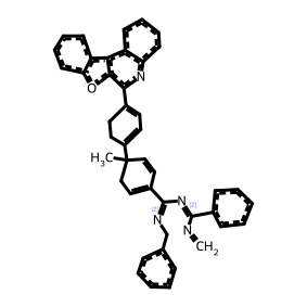 C=N/C(=N\C(=N/Cc1ccccc1)C1=CCC(C)(C2=CC=C(c3nc4ccccc4c4c3oc3ccccc34)CC2)C=C1)c1ccccc1